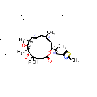 C/C1=C/C[C@@H](/C(C)=C/c2csc(C)n2)OC(=O)CCC(C)(C)C(=O)[C@H](C)[C@@H](O)[C@@H](C)/C=C/C1